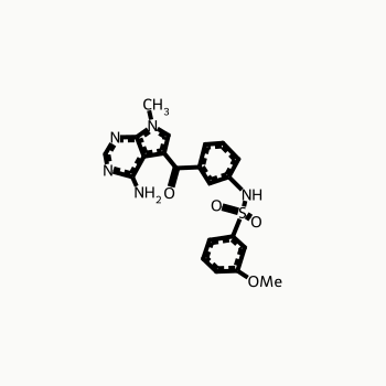 COc1cccc(S(=O)(=O)Nc2cccc(C(=O)c3cn(C)c4ncnc(N)c34)c2)c1